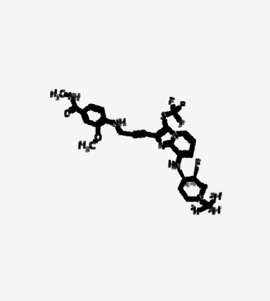 [2H]C([2H])([2H])N1CC[C@@H](Nc2cccn3c(SC(F)(F)F)c(C#CCNc4ccc(C(=O)NC)cc4OC)nc23)[C@@H](F)C1